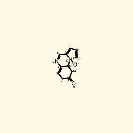 O=C1CC=C2N=CC3=CC=C[N+]3([O-])C2C1